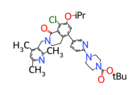 Cc1cc(C)c(CN2CCc3c(-c4ccc(N5CCN(C(=O)OC(C)(C)C)CC5)nc4)cc(OC(C)C)c(Cl)c3C2=O)c(C)n1